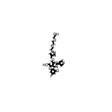 O=C(CO)C1=C(COCc2cn(CCOCCOCCO)nn2)NC(c2ccncc2)=N[C@@H]1c1ccc(F)cc1Cl